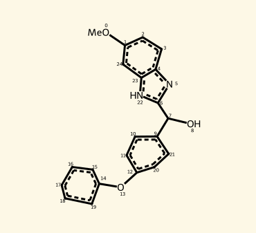 COc1ccc2nc(C(O)c3ccc(Oc4ccccc4)cc3)[nH]c2c1